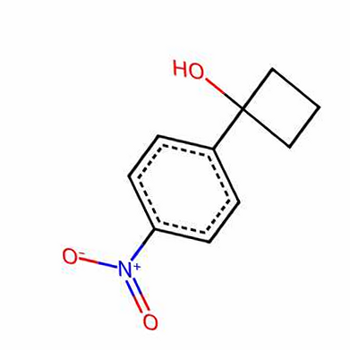 O=[N+]([O-])c1ccc(C2(O)CCC2)cc1